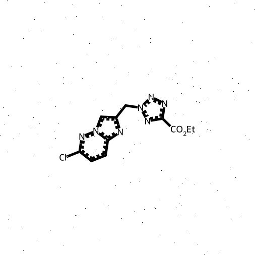 CCOC(=O)c1nnn(Cc2cn3nc(Cl)ccc3n2)n1